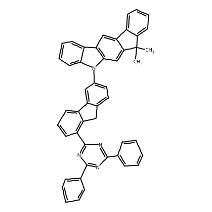 CC1(C)c2ccccc2-c2cc3c4ccccc4n(-c4ccc5c(c4)-c4cccc(-c6nc(-c7ccccc7)nc(-c7ccccc7)n6)c4C5)c3cc21